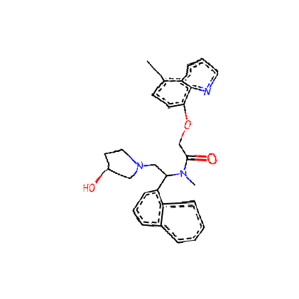 Cc1ccc(OCC(=O)N(C)C(CN2CC[C@H](O)C2)c2cccc3ccccc23)c2ncccc12